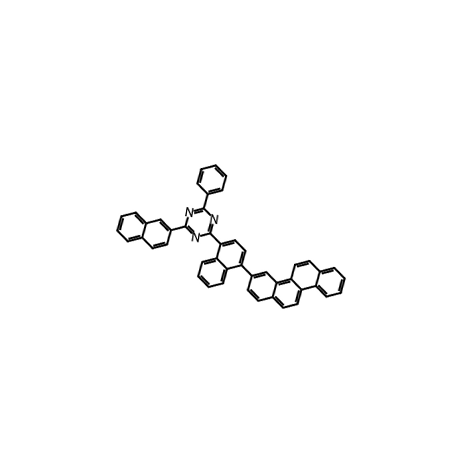 c1ccc(-c2nc(-c3ccc4ccccc4c3)nc(-c3ccc(-c4ccc5ccc6c7ccccc7ccc6c5c4)c4ccccc34)n2)cc1